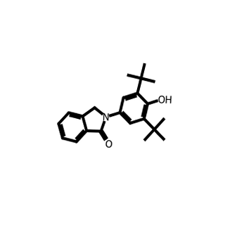 CC(C)(C)c1cc(N2Cc3ccccc3C2=O)cc(C(C)(C)C)c1O